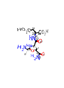 C[C@H](N)C(=O)N[C@@H](CCC(N)=O)C(=O)N[C@@H](CC(=O)O)C(=O)O